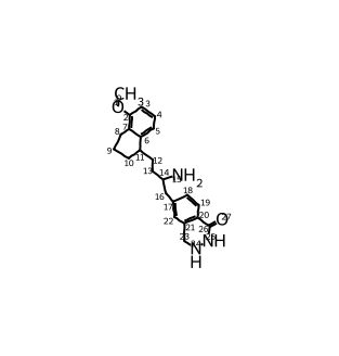 COc1cccc2c1CCCC2CCC(N)Cc1ccc2c(c1)CNNC2=O